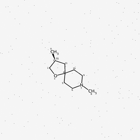 C[C@@H]1COC2(CCN(C)CC2)C1